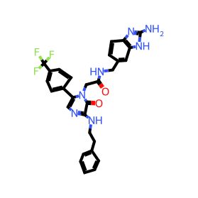 Nc1nc2ccc(CNC(=O)Cn3c(-c4ccc(C(F)(F)F)cc4)cnc(NCCc4ccccc4)c3=O)cc2[nH]1